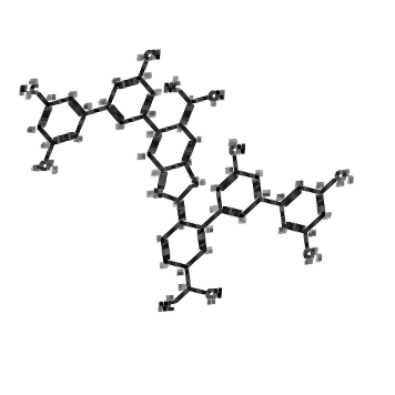 N#CC(C#N)=c1cc2s/c(=C3/C=CC(C(C#N)C#N)C=C3c3cc(C#N)cc(-c4cc(C(F)(F)F)cc(C(F)(F)F)c4)c3)nc2cc1-c1cc(C#N)cc(-c2cc(C(F)(F)F)cc(C(F)(F)F)c2)c1